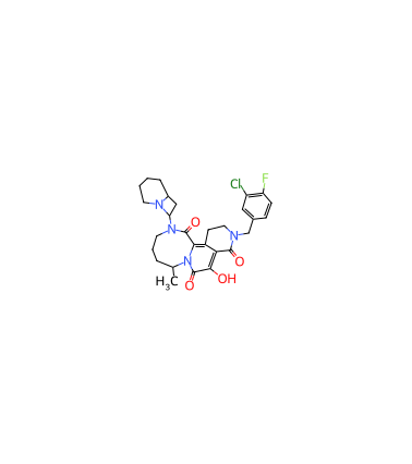 CC1CCCN(C2CC3CCCCN32)C(=O)c2c3c(c(O)c(=O)n21)C(=O)N(Cc1ccc(F)c(Cl)c1)CC3